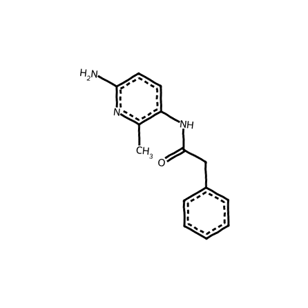 Cc1nc(N)ccc1NC(=O)Cc1ccccc1